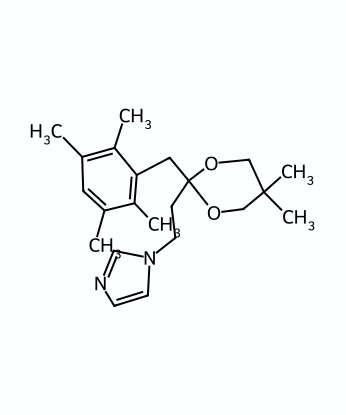 Cc1cc(C)c(C)c(CC2(CCn3ccnc3)OCC(C)(C)CO2)c1C